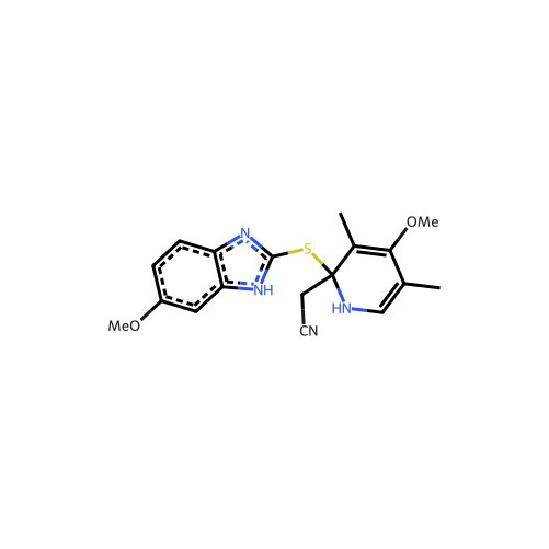 COC1=C(C)C(CC#N)(Sc2nc3ccc(OC)cc3[nH]2)NC=C1C